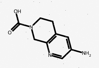 Nc1cnc2c(c1)CCN(C(=O)O)C2